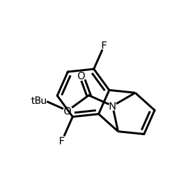 CC(C)(C)OC(=O)N1C2C=CC1c1c(F)ccc(F)c12